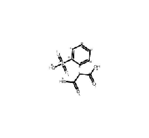 O=C(O)CC(=O)O.O=S(=O)(O)c1ccccc1